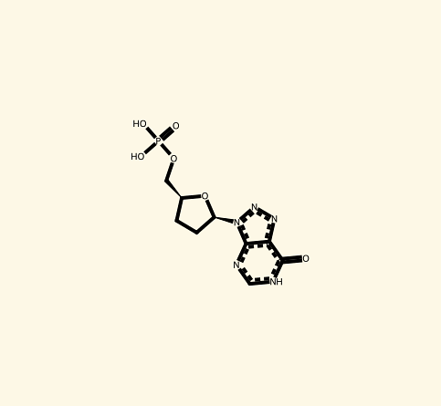 O=c1[nH]cnc2c1nnn2[C@H]1CC[C@@H](COP(=O)(O)O)O1